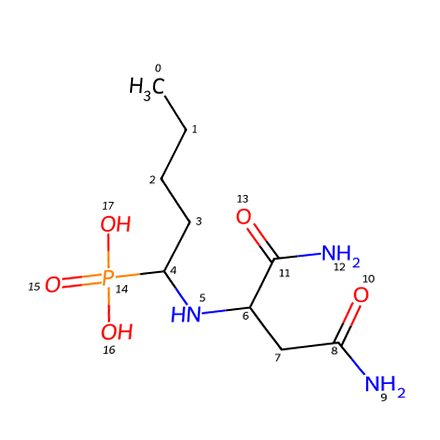 CCCCC(NC(CC(N)=O)C(N)=O)P(=O)(O)O